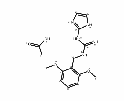 CC(=O)O.COc1cccc(OC)c1CNC(=N)Nc1ncc[nH]1